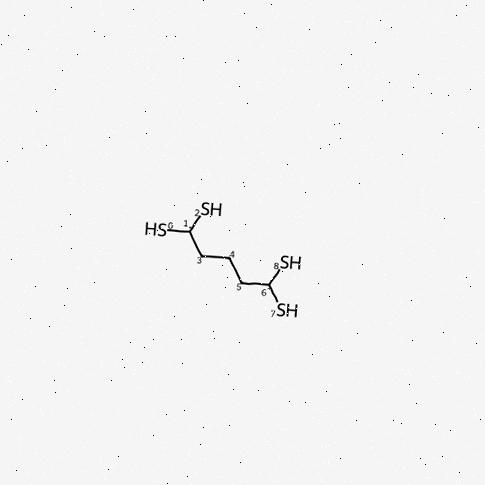 S[C](S)CCC[C](S)S